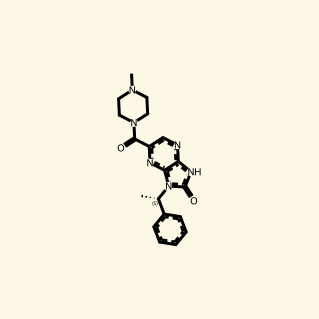 C[C@@H](c1ccccc1)n1c(=O)[nH]c2ncc(C(=O)N3CCN(C)CC3)nc21